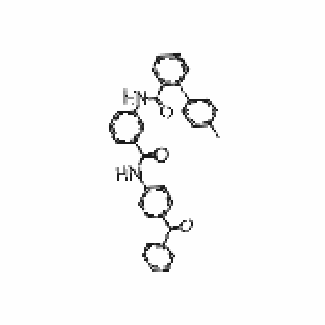 Cc1ccc(-c2ccccc2C(=O)Nc2cccc(C(=O)Nc3ccc(C(=O)c4ccccc4)cc3)c2)cc1